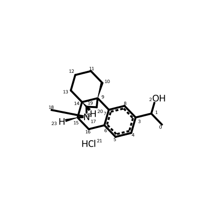 CC(O)c1ccc2c(c1)[C@@]13CCCC[C@H]1[C@@H](C2)N(C)CC3.Cl